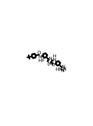 Cn1cc(-c2cccc(NC(=O)c3ccc(C(C)(C)C)cc3)c2F)nc(Nc2ccc(-c3nnn[nH]3)cc2)c1=O